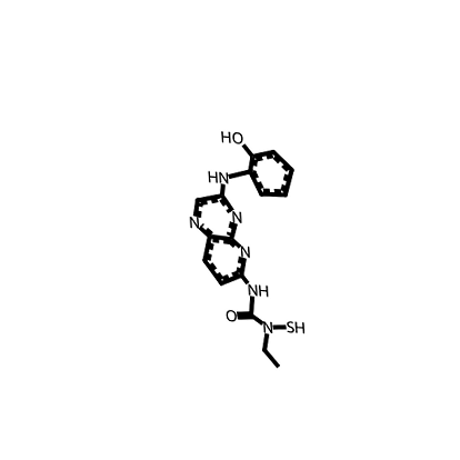 CCN(S)C(=O)Nc1ccc2ncc(Nc3ccccc3O)nc2n1